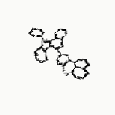 c1ccc(-n2c3ccccc3c3c(-c4ccc5c(c4)-c4cccc6cccc(c46)S5)cc4ccccc4c32)cc1